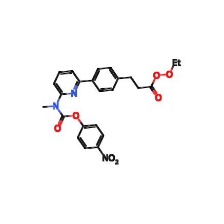 CCOOC(=O)CCc1ccc(-c2cccc(N(C)C(=O)Oc3ccc([N+](=O)[O-])cc3)n2)cc1